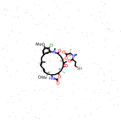 COc1cc2cc(c1Cl)N(C)C(=O)C[C@H](OC(=O)[C@H](C)N(C)C(=O)CCS)C1(C)OC1[C@H](C)C1CC(NC(=O)O1)[C@H](OC)/C=C/C=C(\C)C2